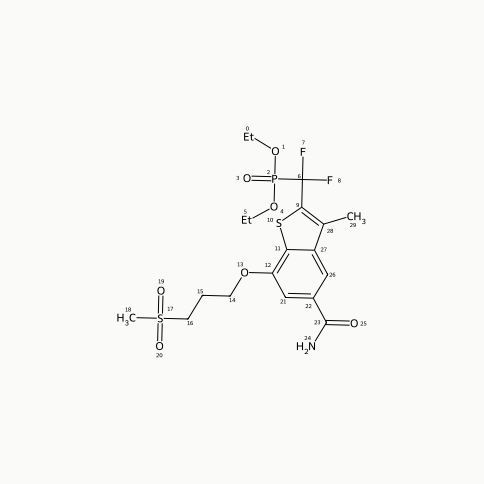 CCOP(=O)(OCC)C(F)(F)c1sc2c(OCCCS(C)(=O)=O)cc(C(N)=O)cc2c1C